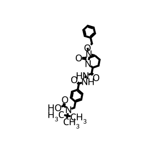 CC(C)(C)N(Cc1ccc(C(=O)NNC(=O)C2CCC3CN2C(=O)N3OCc2ccccc2)cc1)C(=O)O